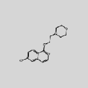 Clc1ccc2c(OCCN3CCOCC3)nccc2c1